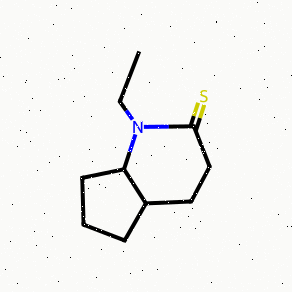 CCN1C(=S)CCC2CCCC21